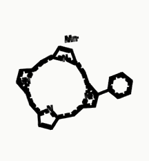 C1=Cc2cc3cc(-c4ccccc4)c(cc4nc(cc5ccc(cc1n2)[nH]5)C=C4)[nH]3.[Mn]